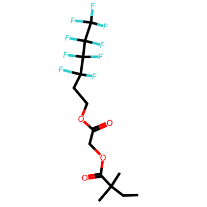 CCC(C)(C)C(=O)OCC(=O)OCCC(F)(F)C(F)(F)C(F)(F)C(F)(F)F